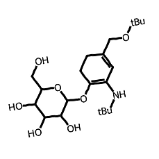 CC(C)(C)NC1=C(OC2OC(CO)C(O)C(O)C2O)CCC(COC(C)(C)C)=C1